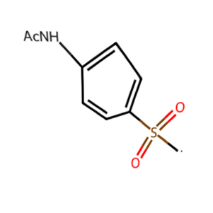 [CH2]S(=O)(=O)c1ccc(NC(C)=O)cc1